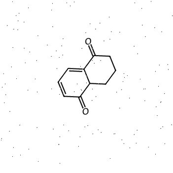 O=C1CCCC2C(=O)C=CC=C12